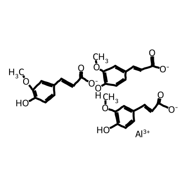 COc1cc(/C=C/C(=O)[O-])ccc1O.COc1cc(/C=C/C(=O)[O-])ccc1O.COc1cc(/C=C/C(=O)[O-])ccc1O.[Al+3]